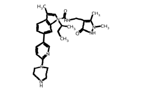 CCC(C)[N+]1(C(=O)NCc2c(C)n(C)[nH]c2=O)C=C(C)c2ccc(-c3ccc(N4CCNCC4)nc3)cc21